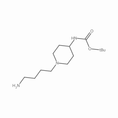 CC(C)(C)OC(=O)NC1CCN(CCCCN)CC1